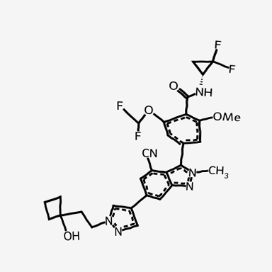 COc1cc(-c2c3c(C#N)cc(-c4cnn(CCC5(O)CCC5)c4)cc3nn2C)cc(OC(F)F)c1C(=O)N[C@@H]1CC1(F)F